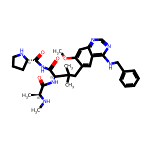 CN[C@@H](C)C(=O)N[C@H](C(=O)NC(=O)[C@@H]1CCCN1)C(C)(C)Cc1cc2c(NCc3ccccc3)ncnc2cc1OC